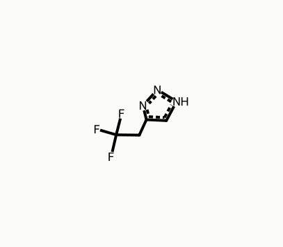 FC(F)(F)Cc1c[nH]nn1